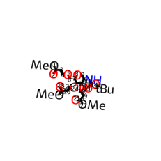 COC(=O)/C=C/OC[C@H]1OC[C@H](NC(=O)OC(C)(C)C)[C@@H](O/C=C/C(=O)OC)[C@@H]1O/C=C/C(=O)OC